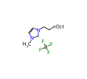 CCCCCCCCCCN1C=CN(C)C1.F[B-](F)(F)F